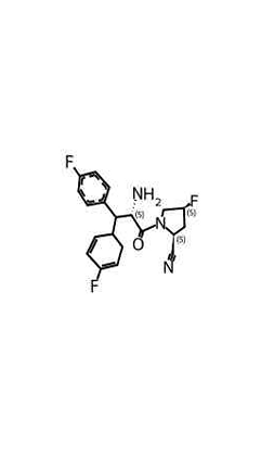 N#C[C@@H]1C[C@H](F)CN1C(=O)[C@@H](N)C(c1ccc(F)cc1)C1C=CC(F)=CC1